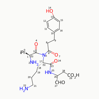 CC(C)[C@H](N)C(=O)N(C(=O)CCc1ccc(O)cc1)[C@@H](CCCCN)C(=O)NC(C=O)CC(=O)O